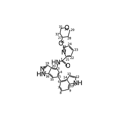 O=C(Nc1cc(-c2cccc3[nH]ccc23)cc2[nH]ncc12)c1cccc(OC2CCOCC2)n1